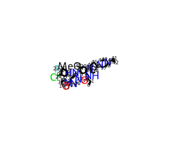 C=CC(=O)Nc1cc(Nc2cc(N3OCC[C@@H]3c3cccc(F)c3Cl)ncn2)c(OC)cc1N1CCC(N2CCN(C3CC3)CC2)CC1